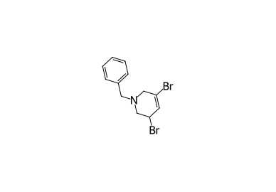 BrC1=CC(Br)CN(Cc2ccccc2)C1